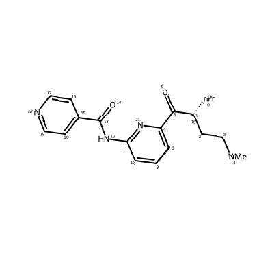 CCC[C@H](CCNC)C(=O)c1cccc(NC(=O)c2ccncc2)n1